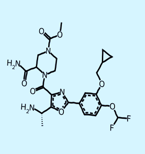 COC(=O)N1CCN(C(=O)c2nc(-c3ccc(OC(F)F)c(OCC4CC4)c3)oc2[C@H](C)N)C(C(N)=O)C1